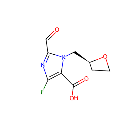 O=Cc1nc(F)c(C(=O)O)n1C[C@@H]1CCO1